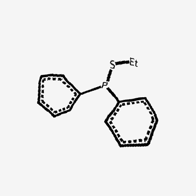 CCSP(c1ccccc1)c1ccccc1